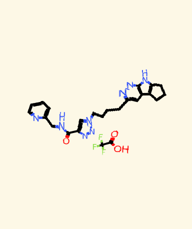 O=C(NCc1ccccn1)c1cn(CCCCc2cc3c4c([nH]c3nn2)CCC4)nn1.O=C(O)C(F)(F)F